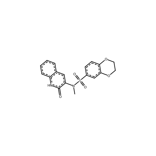 CN(c1cc2ccccc2[nH]c1=O)S(=O)(=O)c1ccc2c(c1)OCCO2